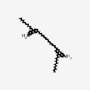 CCCCCCCCCCCCC(c1ccc(CCCCCCCCCCCCCCCCCc2ccc(C(CCCCCCCCCCCC)c3ccc(N)cc3C)cc2)cc1)c1ccc(N)cc1C